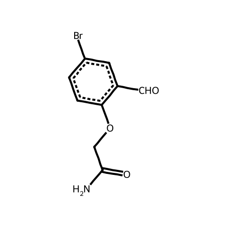 NC(=O)COc1ccc(Br)cc1C=O